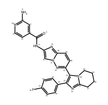 Nc1cc(C(=O)Nc2cn3nc(-c4c(-c5ccc(F)cc5)nc5n4CCCC5)ccc3n2)ccn1